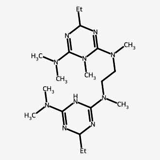 CCC1N=C(N(C)C)NC(N(C)CCN(C)C2=NC(CC)N=C(N(C)C)N2C)=N1